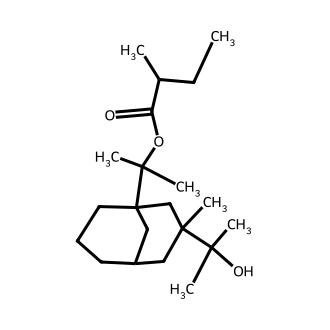 CCC(C)C(=O)OC(C)(C)C12CCCC(CC(C)(C(C)(C)O)C1)C2